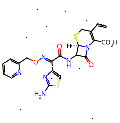 C=CC1=C(C(=O)O)N2C(=O)C(NC(=O)/C(=N/OCc3ccccn3)c3csc(N)n3)[C@H]2SC1